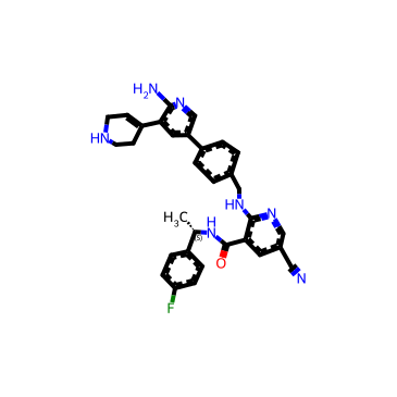 C[C@H](NC(=O)c1cc(C#N)cnc1NCc1ccc(-c2cnc(N)c(C3=CCNCC3)c2)cc1)c1ccc(F)cc1